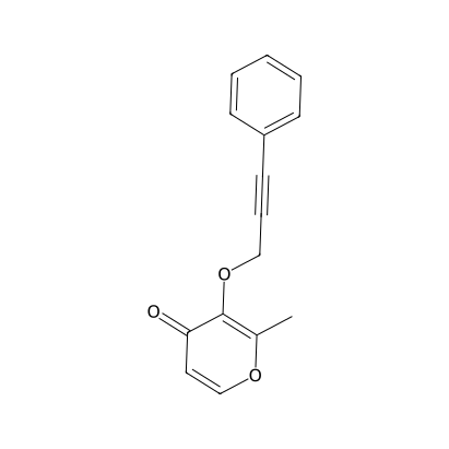 Cc1occc(=O)c1OCC#Cc1ccccc1